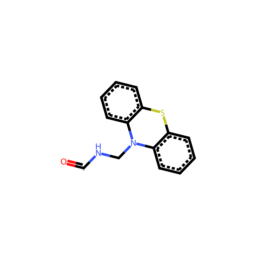 O=[C]NCN1c2ccccc2Sc2ccccc21